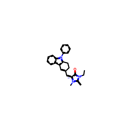 C=c1n(CC)c(=O)/c(=C\C2=Cc3c(n(-c4ccccc4)c4ccccc34)CC2)n1C